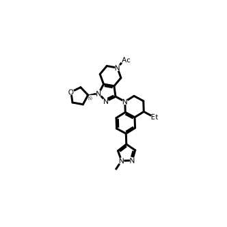 CCC1CCN(c2nn([C@H]3CCOC3)c3c2CN(C(C)=O)CC3)c2ccc(-c3cnn(C)c3)cc21